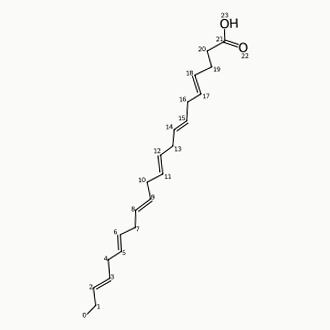 CC/C=C/C/C=C/C/C=C/C/C=C/C/C=C/C/C=C/CCC(=O)O